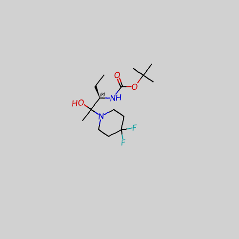 CC[C@@H](NC(=O)OC(C)(C)C)C(C)(O)N1CCC(F)(F)CC1